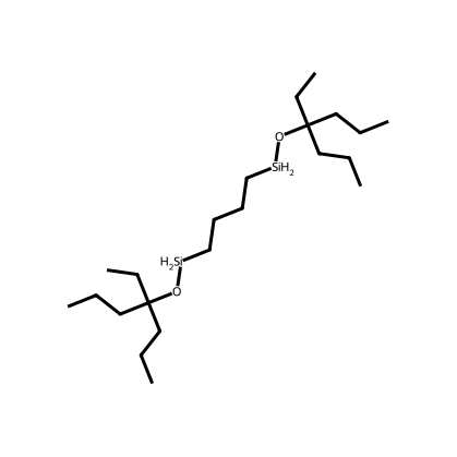 CCCC(CC)(CCC)O[SiH2]CCCC[SiH2]OC(CC)(CCC)CCC